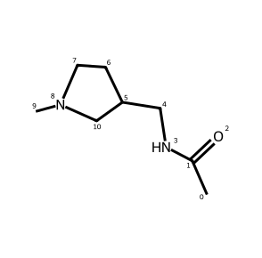 CC(=O)NCC1CCN(C)C1